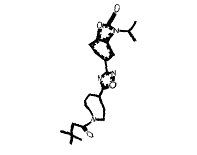 CC(C)n1c(=O)oc2ccc(-c3noc(C4CCN(C(=O)CC(C)(C)C)CC4)n3)cc21